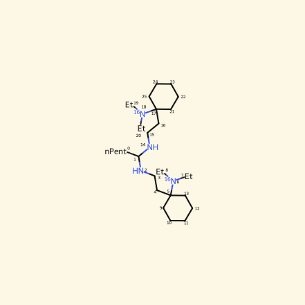 CCCCCC(NCCC1([16N](CC)CC)CCCCC1)NCCC1([16N](CC)CC)CCCCC1